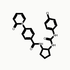 O=C(Nc1ccc(Cl)cc1)NC1CCCC1NC(=O)c1ccc(-n2ccccc2=O)cc1